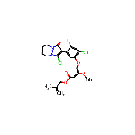 C=C(C)COC(=O)/C=C(\COc1cc(-c2c(Cl)n3n(c2=O)CCCC3)c(F)cc1Cl)OCCC